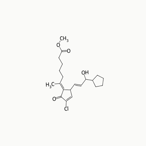 COC(=O)CCCCC(C)=C1C(=O)C(Cl)=CC1C=CC(O)C1CCCC1